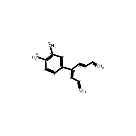 C=C/C=C/C(=C\C=C)c1ccc(N)c(C)c1